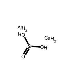 O=[Si](O)O.[AlH3].[GaH3]